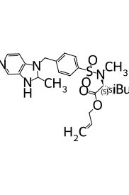 C=CCOC(=O)[C@H]([C@@H](C)CC)N(C)S(=O)(=O)c1ccc(CN2c3ccncc3NC2C)cc1